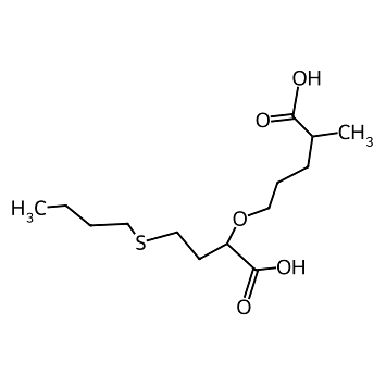 CCCCSCCC(OCCCC(C)C(=O)O)C(=O)O